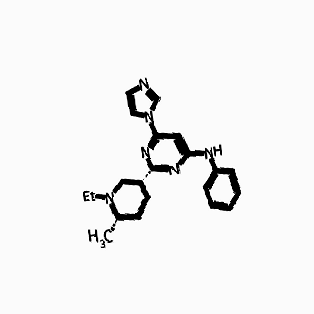 CCN1C[C@H](c2nc(Nc3ccccc3)cc(-n3ccnc3)n2)CC[C@@H]1C